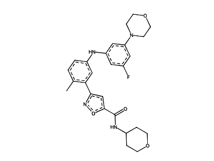 Cc1ccc(Nc2cc(F)cc(N3CCOCC3)c2)cc1-c1cc(C(=O)NC2CCOCC2)on1